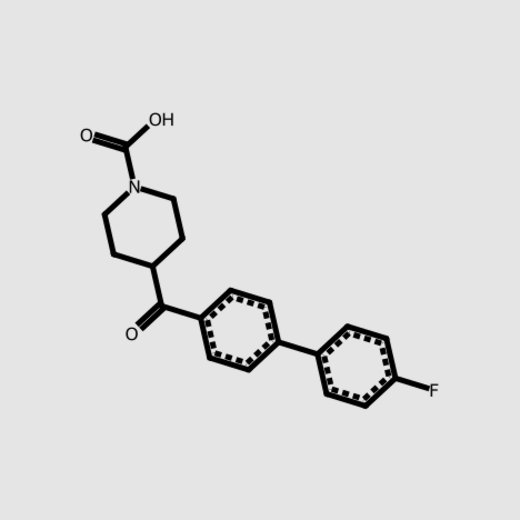 O=C(c1ccc(-c2ccc(F)cc2)cc1)C1CCN(C(=O)O)CC1